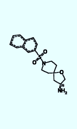 N[C@@H]1COC2(CCN(S(=O)(=O)c3ccc4ccccc4c3)CC2)C1